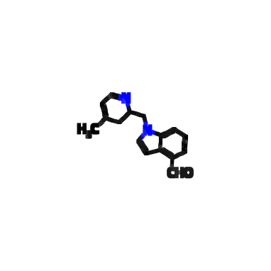 CC1=CC=NC(Cn2ccc3c(C=O)cccc32)C1